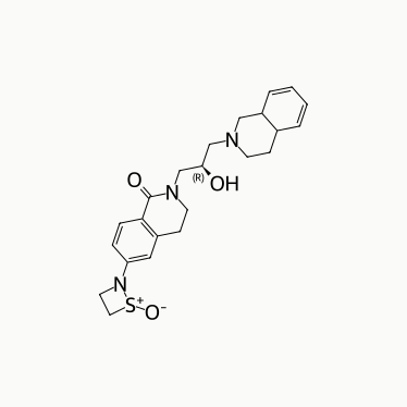 O=C1c2ccc(N3CC[S+]3[O-])cc2CCN1C[C@H](O)CN1CCC2C=CC=CC2C1